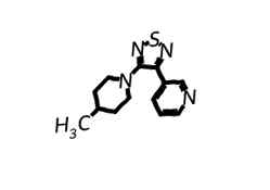 CC1CCN(c2nsnc2-c2cccnc2)CC1